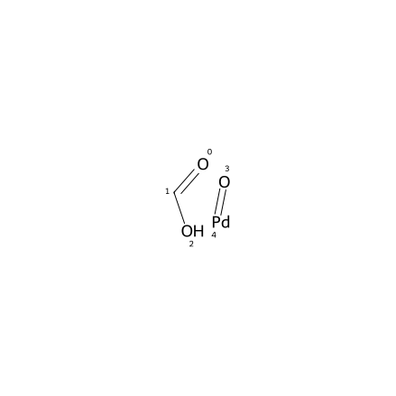 O=CO.[O]=[Pd]